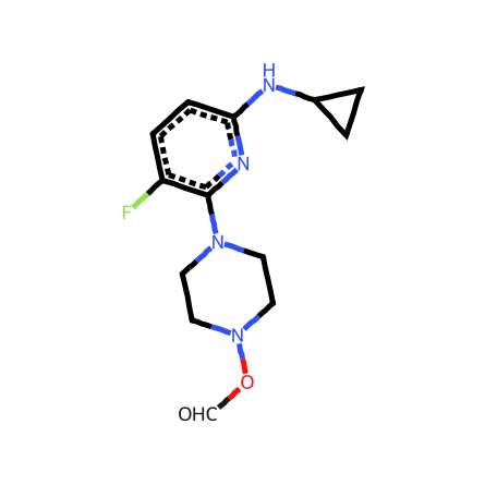 O=CON1CCN(c2nc(NC3CC3)ccc2F)CC1